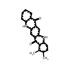 Cc1ccc2[nH]c3cc4c(=O)c5ccccc5[nH]c4cc3c(=O)c2c1C